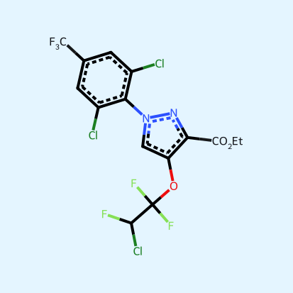 CCOC(=O)c1nn(-c2c(Cl)cc(C(F)(F)F)cc2Cl)cc1OC(F)(F)C(F)Cl